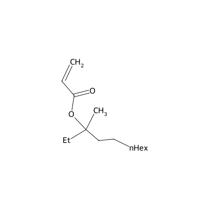 C=CC(=O)OC(C)(CC)CCCCCCCC